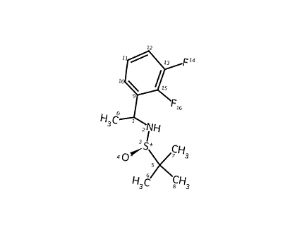 CC(N[S@+]([O-])C(C)(C)C)c1cccc(F)c1F